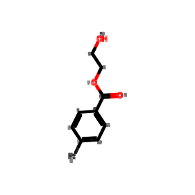 CCc1ccc(C(=O)OCCO)cc1